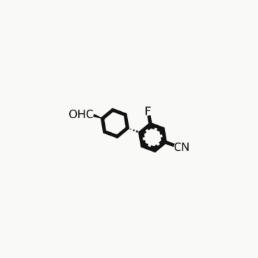 N#Cc1ccc([C@H]2CC[C@H](C=O)CC2)c(F)c1